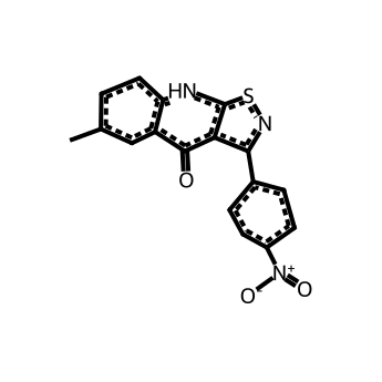 Cc1ccc2[nH]c3snc(-c4ccc([N+](=O)[O-])cc4)c3c(=O)c2c1